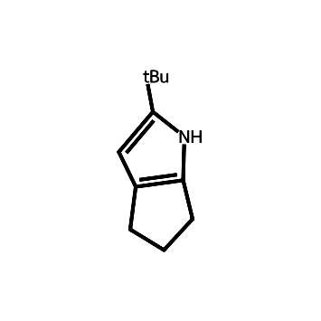 CC(C)(C)c1cc2c([nH]1)CCC2